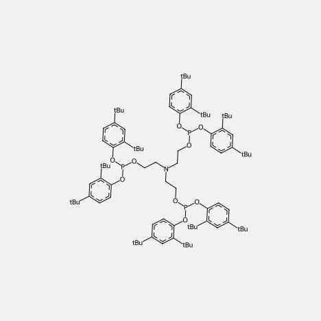 CC(C)(C)c1ccc(OP(OCCN(CCOP(Oc2ccc(C(C)(C)C)cc2C(C)(C)C)Oc2ccc(C(C)(C)C)cc2C(C)(C)C)CCOP(Oc2ccc(C(C)(C)C)cc2C(C)(C)C)Oc2ccc(C(C)(C)C)cc2C(C)(C)C)Oc2ccc(C(C)(C)C)cc2C(C)(C)C)c(C(C)(C)C)c1